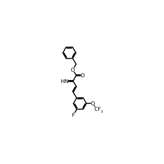 N=C(/C=C/c1cc(F)cc(OC(F)(F)F)c1)C(=O)OCc1ccccc1